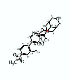 CC(C)(C)OC(=O)N1CC2COCC(C1)C2COc1ncc(-c2ccc(S(C)(=O)=O)cc2F)cn1